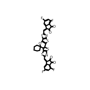 O=C1C(=O)c2c(F)cc(F)cc2/C1=C/c1nc2sc3c(c2s1)OC1(CCCCC1)c1c-3sc2nc(/C=C3\C(=O)C(=O)c4c(F)cc(F)cc43)sc12